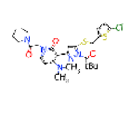 CN(C)c1ccn(CC(=O)N2CCCCC2)c(=O)c1-c1cc(SCc2ccc(Cl)s2)n(C(=O)C(C)(C)C)n1